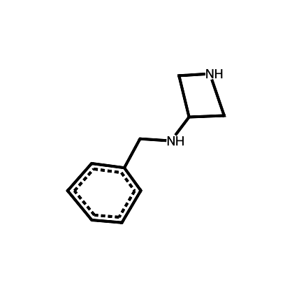 c1ccc(CNC2CNC2)cc1